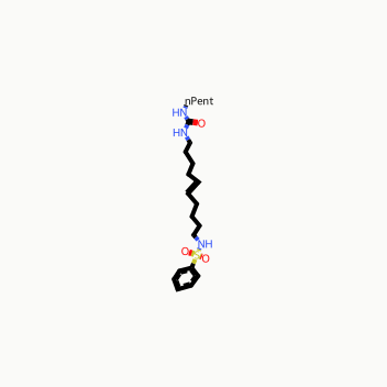 CCCCCNC(=O)NCCCC/C=C/CCCCNS(=O)(=O)c1ccccc1